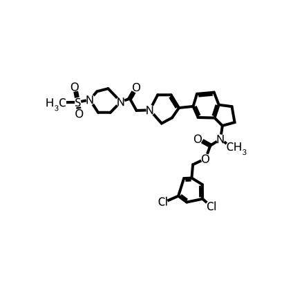 CN(C(=O)OCc1cc(Cl)cc(Cl)c1)C1CCc2ccc(C3=CCN(CC(=O)N4CCN(S(C)(=O)=O)CC4)CC3)cc21